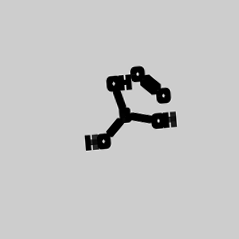 O=O.OB(O)O